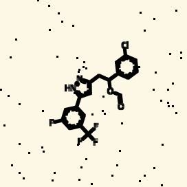 O=COC(Cc1cc(-c2cc(F)cc(C(F)(F)F)c2)[nH]n1)c1cccc(Cl)c1